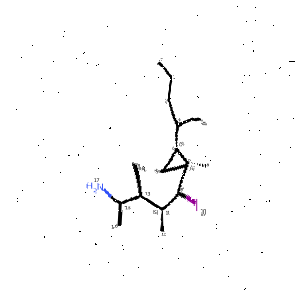 CCCC(C)[C@@H]1C[C@]1(C)C(I)[C@@H](C)C(C)C(C)N